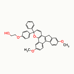 COc1ccc2c(c1)Cc1c3c(c4cc(OC)ccc4c1-2)OC(c1ccccc1)(c1ccc(OCCO)cc1)C=C3